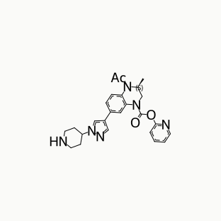 CC(=O)N1c2ccc(-c3cnn(C4CCNCC4)c3)cc2N(C(=O)Oc2ccccn2)C[C@@H]1C